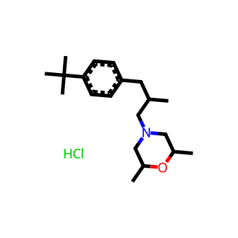 CC(Cc1ccc(C(C)(C)C)cc1)CN1CC(C)OC(C)C1.Cl